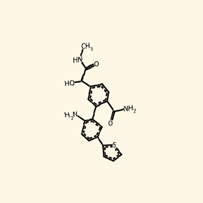 CNC(=O)C(O)c1ccc(C(N)=O)c(-c2cc(-c3cccs3)ccc2N)c1